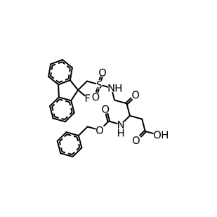 O=C(O)CC(NC(=O)OCc1ccccc1)C(=O)CNS(=O)(=O)CC1(F)c2ccccc2-c2ccccc21